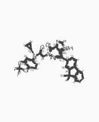 CC1(C)c2ccccc2-c2ccc(-c3nn(CC(=O)N(c4ccc5c(c4)OC(F)(F)O5)C4CC4)c(=O)c4nc[nH]c34)cc21